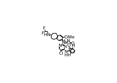 COc1cc2c(cc1Nc1ncc(Cl)c(N[C@H]3[C@@H](OC(N)=O)[C@@H]4C=C[C@H]3C4)n1)CCC(NCC(F)F)CC2